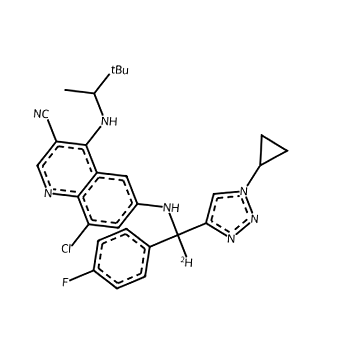 [2H]C(Nc1cc(Cl)c2ncc(C#N)c(NC(C)C(C)(C)C)c2c1)(c1ccc(F)cc1)c1cn(C2CC2)nn1